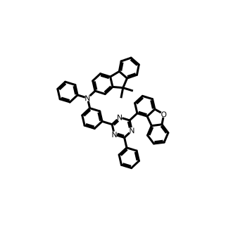 CC1(C)c2ccccc2-c2ccc(N(c3ccccc3)c3cccc(-c4nc(-c5ccccc5)nc(-c5cccc6oc7ccccc7c56)n4)c3)cc21